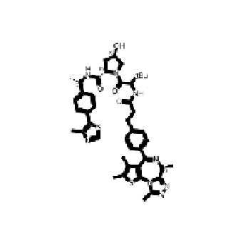 Cc1ncsc1-c1ccc([C@H](C)NC(=O)[C@@H]2C[C@@H](O)CN2C(=O)C(NC(=O)CCc2ccc(C3=N[C@@H](C)c4nnc(C)n4-c4sc(C)c(C)c43)cc2)C(C)(C)C)cc1